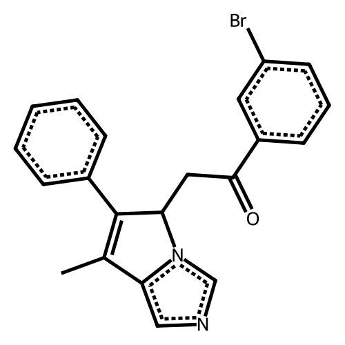 CC1=C(c2ccccc2)C(CC(=O)c2cccc(Br)c2)n2cncc21